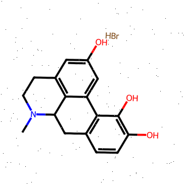 Br.CN1CCc2cc(O)cc3c2C1Cc1ccc(O)c(O)c1-3